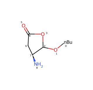 CCCCOC1OC(=O)C[C@@H]1N